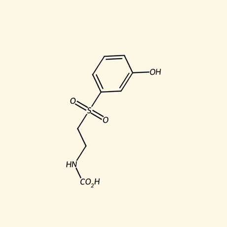 O=C(O)NCCS(=O)(=O)c1cccc(O)c1